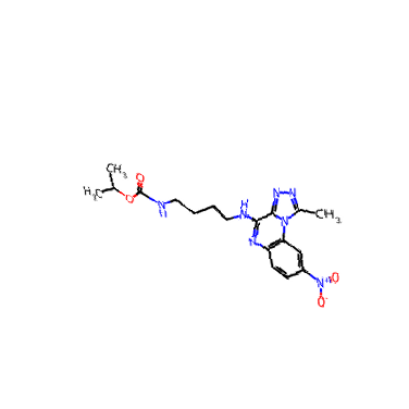 Cc1nnc2c(NCCCCNC(=O)OC(C)C)nc3ccc([N+](=O)[O-])cc3n12